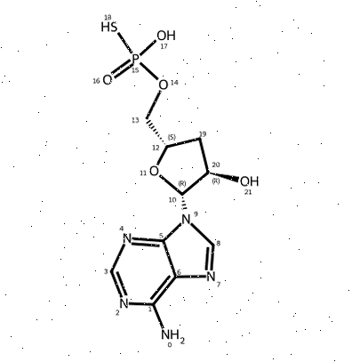 Nc1ncnc2c1ncn2[C@@H]1O[C@H](COP(=O)(O)S)C[C@H]1O